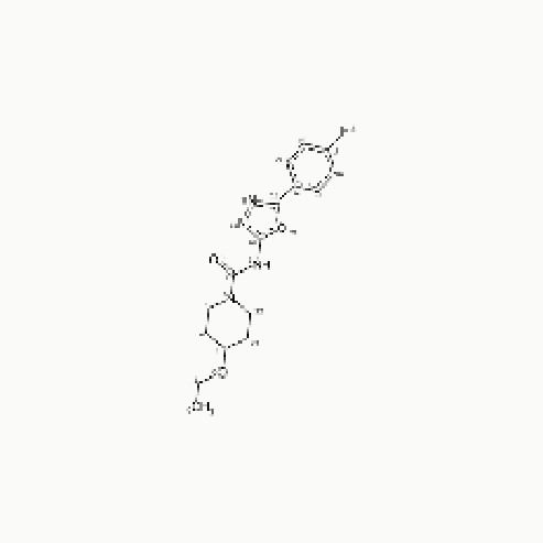 CCOC1CCN(C(=O)Nc2nnc(-c3ccc(F)cc3)o2)CC1